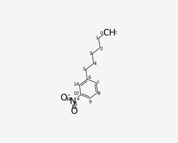 [CH]CCCCCc1cccc([N+](=O)[O-])c1